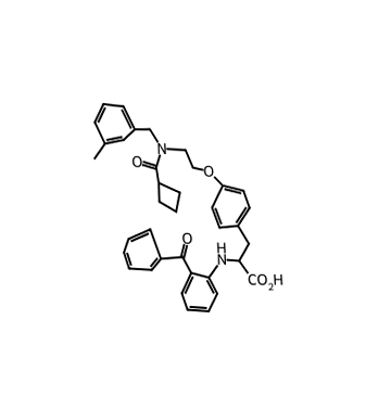 Cc1cccc(CN(CCOc2ccc(CC(Nc3ccccc3C(=O)c3ccccc3)C(=O)O)cc2)C(=O)C2CCC2)c1